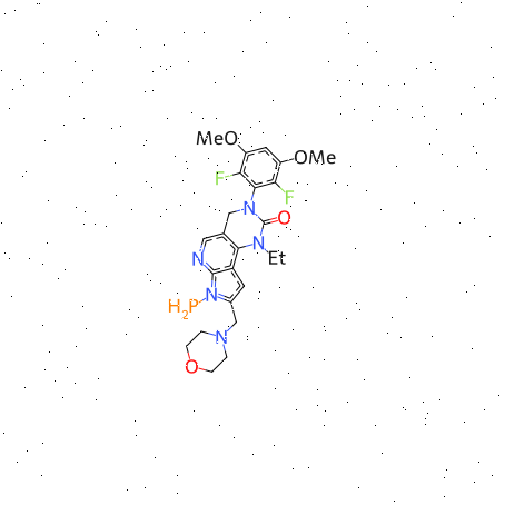 CCN1C(=O)N(c2c(F)c(OC)cc(OC)c2F)Cc2cnc3c(cc(CN4CCOCC4)n3P)c21